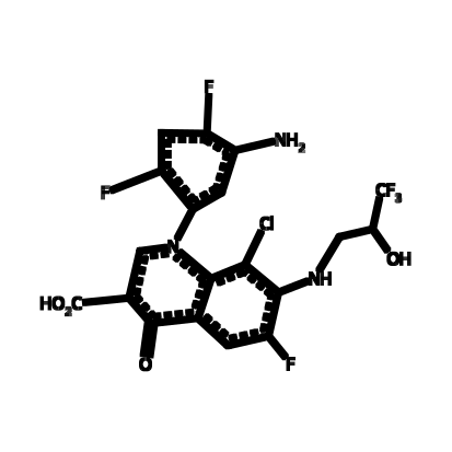 Nc1cc(-n2cc(C(=O)O)c(=O)c3cc(F)c(NCC(O)C(F)(F)F)c(Cl)c32)c(F)cc1F